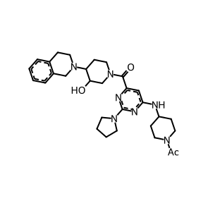 CC(=O)N1CCC(Nc2cc(C(=O)N3CCC(N4CCc5ccccc5C4)C(O)C3)nc(N3CCCC3)n2)CC1